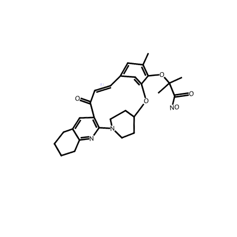 Cc1cc2cc(c1OC(C)(C)C(=O)N=O)OC1CCN(CC1)c1nc3c(cc1C(=O)/C=C/2)CCCC3